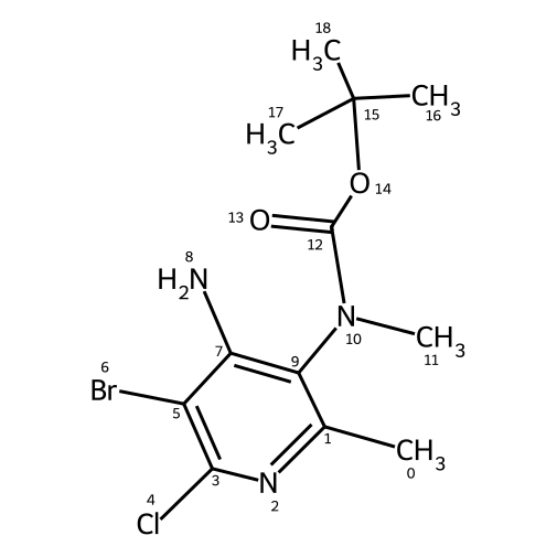 Cc1nc(Cl)c(Br)c(N)c1N(C)C(=O)OC(C)(C)C